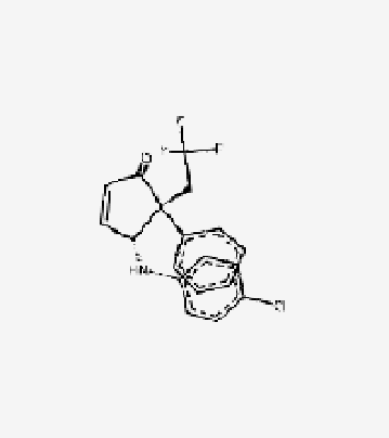 O=C1C=C[C@@H](Nc2ccc(Cl)cc2)[C@@]1(CC(F)(F)F)c1ccccc1